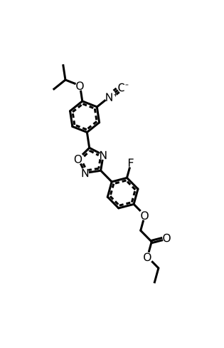 [C-]#[N+]c1cc(-c2nc(-c3ccc(OCC(=O)OCC)cc3F)no2)ccc1OC(C)C